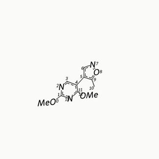 COc1ncc(-c2cnoc2C)c(OC)n1